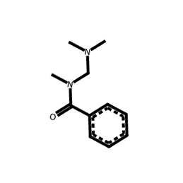 CN(C)CN(C)C(=O)c1ccccc1